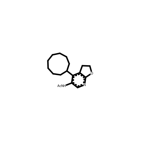 CC(=O)Nc1cnc2c(c1C1CCCCCCCC1)CCO2